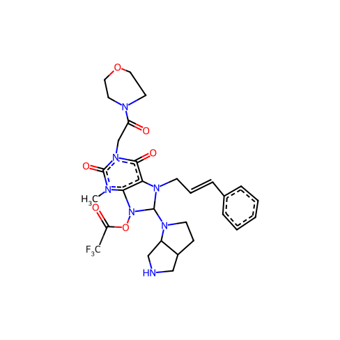 Cn1c2c(c(=O)n(CC(=O)N3CCOCC3)c1=O)N(CC=Cc1ccccc1)C(N1CCC3CNCC31)N2OC(=O)C(F)(F)F